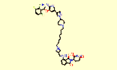 CC(Oc1cc(-c2cnn(C3CCN(CCCCCCCCN4CC(CNc5cccc6c5C(=O)N(C5CCC(=O)NC5=O)C6=O)C4)CC3)c2)cnc1N)c1c(Cl)ccc(F)c1Cl